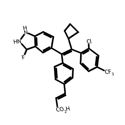 O=C(O)/C=C/c1ccc(/C(=C(\c2ccc(C(F)(F)F)cc2Cl)C2CCC2)c2ccc3c(c2)C(F)NN3)cc1